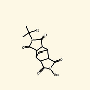 CCC(C)N1C(=O)C2C3C=CC(C2C1=O)C1C(=O)N(C(C)(C)CC)C(=O)C31